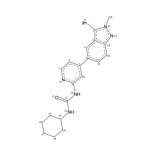 CC(C)c1c2cc(-c3ccnc(NC(=O)NC4CCCCC4)c3)ccc2nn1C